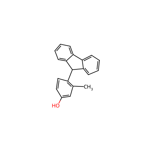 Cc1cc(O)ccc1C1c2ccccc2-c2ccccc21